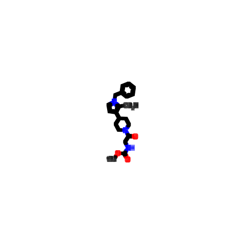 CC(C)(C)OC(=O)NCC(=O)N1CCC(c2ccn(Cc3ccccc3)c2C(=O)O)CC1